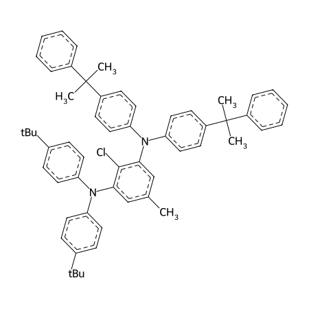 Cc1cc(N(c2ccc(C(C)(C)C)cc2)c2ccc(C(C)(C)C)cc2)c(Cl)c(N(c2ccc(C(C)(C)c3ccccc3)cc2)c2ccc(C(C)(C)c3ccccc3)cc2)c1